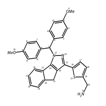 COc1ccc(C(c2ccc(OC)cc2)n2nc(-c3ccc(CN)s3)c3c2-c2ccccc2C3)cc1